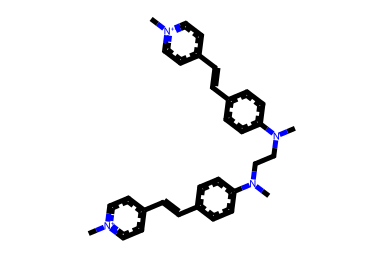 CN(CCN(C)c1ccc(/C=C/c2cc[n+](C)cc2)cc1)c1ccc(/C=C/c2cc[n+](C)cc2)cc1